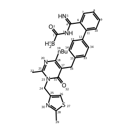 BC(=O)NC(=N)c1ccccc1-c1ccc(Cc2c(CCCC)nc(C)n(Cc3csc(C)n3)c2=O)cc1